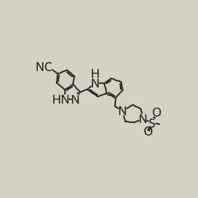 CS(=O)(=O)N1CCN(Cc2cccc3[nH]c(-c4n[nH]c5cc(C#N)ccc45)cc23)CC1